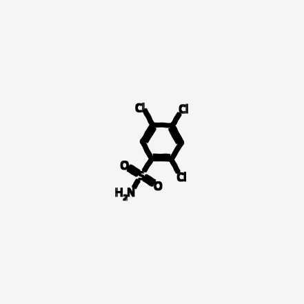 NS(=O)(=O)c1cc(Cl)c(Cl)cc1Cl